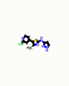 Cc1nc(Nc2cc[nH]n2)sc1-c1ccnc(Cl)c1